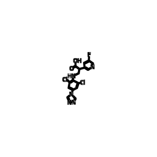 O=C(O)C(CNc1c(Cl)cc(-n2cnnc2)cc1Cl)c1cncc(F)c1